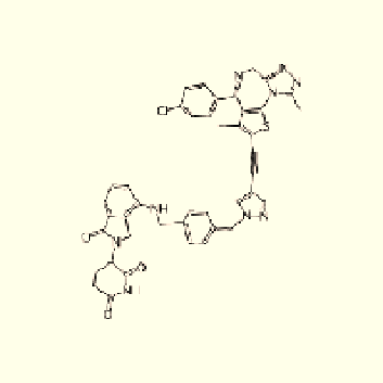 Cc1c(C#Cc2cnn(Cc3ccc(CNc4cccc5c4CN(C4CCC(=O)NC4=O)C5=O)cc3)c2)sc2c1C(c1ccc(Cl)cc1)=NCc1nnc(C)n1-2